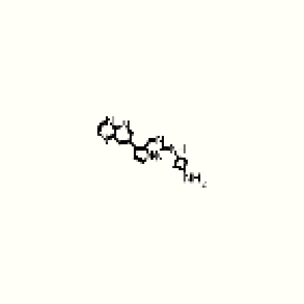 N[C@H]1C[C@@H](Nc2ncc3c(-c4cnc5nccnc5c4)ccn3n2)C1